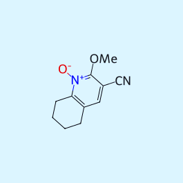 COc1c(C#N)cc2c([n+]1[O-])CCCC2